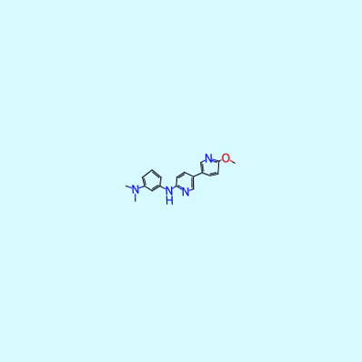 COc1ccc(-c2ccc(Nc3cccc(N(C)C)c3)nc2)cn1